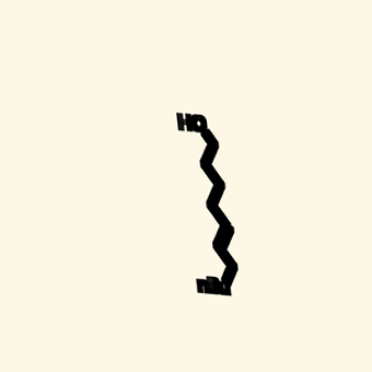 CCCCC/C=C/CCCCO